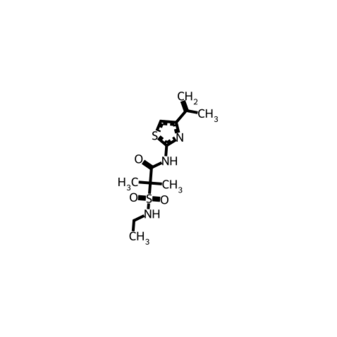 C=C(C)c1csc(NC(=O)C(C)(C)S(=O)(=O)NCC)n1